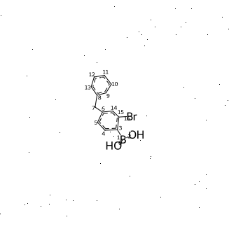 OB(O)c1ccc(Cc2ccccc2)cc1Br